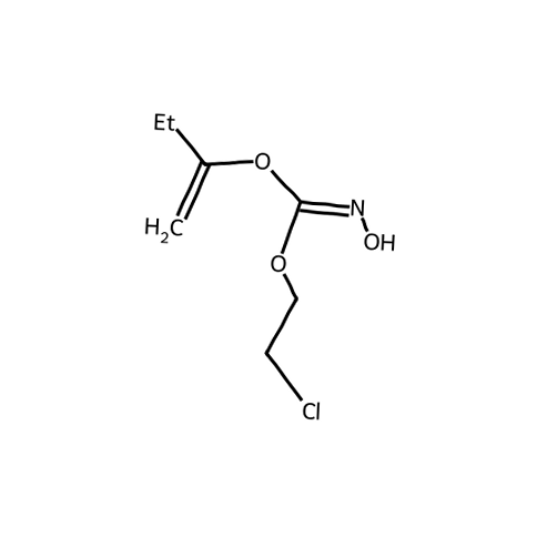 C=C(CC)OC(=NO)OCCCl